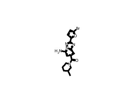 CC1CCCN(C(=O)c2cc(N)n3nc(-c4ccc(Br)o4)nc3c2)C1